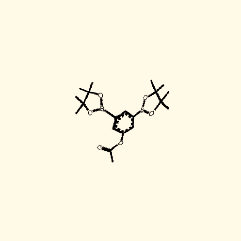 CC(=O)Oc1cc(B2OC(C)(C)C(C)(C)O2)cc(B2OC(C)(C)C(C)(C)O2)c1